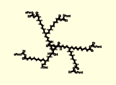 CCCCCCCCCCCCN(CCCCCCCCC(=O)OC(CC)CCCCC)CCCNC(O)c1cc(C(=O)NCCCN(CCCCCCCCC(=O)OC(CC)CCCCC)CCCCCCCCC(=O)OC(CC)CCCCC)cc(C(=O)NCCCN(CCCCCCCCC(=O)OC(CC)CCCCC)CCCCCCCCC(=O)OC(CC)CCCCC)c1